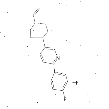 C=CC1CCC(c2ccc(-c3ccc(F)c(F)c3)nc2)CC1